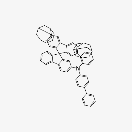 c1ccc(-c2ccc(N(c3ccccc3)c3ccc4c(c3)C3(c5ccccc5-4)c4cc5c(cc4-c4cc6c(cc43)C3CC4CC(CC6C4)C3)C3CC4CC(C3)CC5C4)cc2)cc1